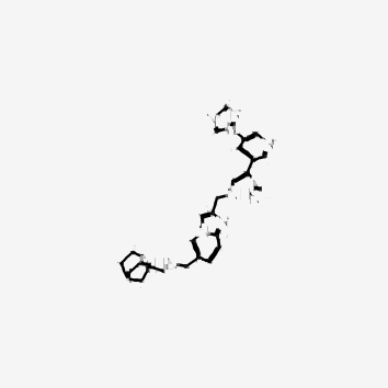 N=N/C(=C\NCc1cn2cc(CNCC3CC4CCN3CC4)ccc2n1)c1cncc(-n2cncn2)c1